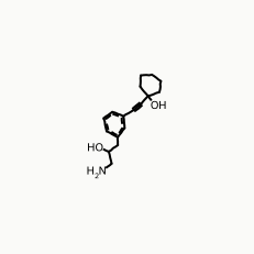 NCC(O)Cc1cccc(C#CC2(O)CCCCC2)c1